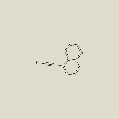 FC#Cc1cccc2n[c]ccc12